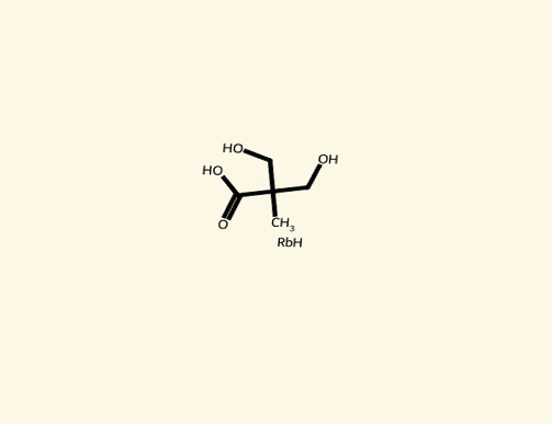 CC(CO)(CO)C(=O)O.[RbH]